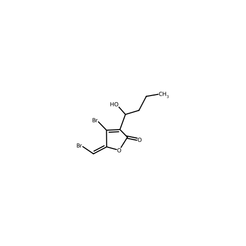 CCCC(O)C1=C(Br)C(=CBr)OC1=O